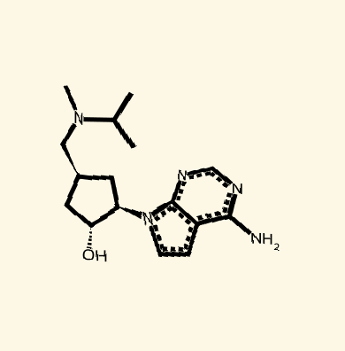 CC(C)N(C)C[C@@H]1C[C@@H](O)[C@H](n2ccc3c(N)ncnc32)C1